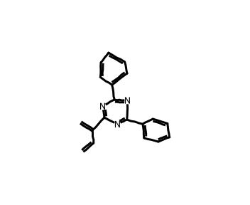 C=CC(=C)c1nc(-c2ccccc2)nc(-c2ccccc2)n1